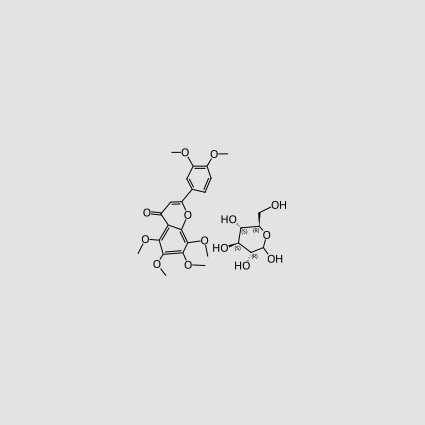 COc1ccc(-c2cc(=O)c3c(OC)c(OC)c(OC)c(OC)c3o2)cc1OC.OC[C@H]1OC(O)[C@H](O)[C@@H](O)[C@@H]1O